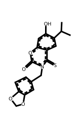 CC(C)c1cc2c(=S)n(Cc3ccc4c(c3)OCO4)c(=O)oc2cc1O